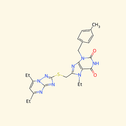 CCc1cc(CC)n2nc(SCc3nc4c(c(=O)[nH]c(=O)n4Cc4ccc(C)cc4)n3CC)nc2n1